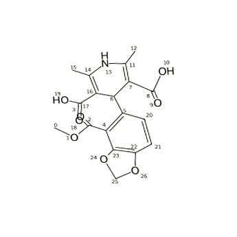 COC(=O)c1c(C2C(C(=O)O)=C(C)NC(C)=C2C(=O)O)ccc2c1OCO2